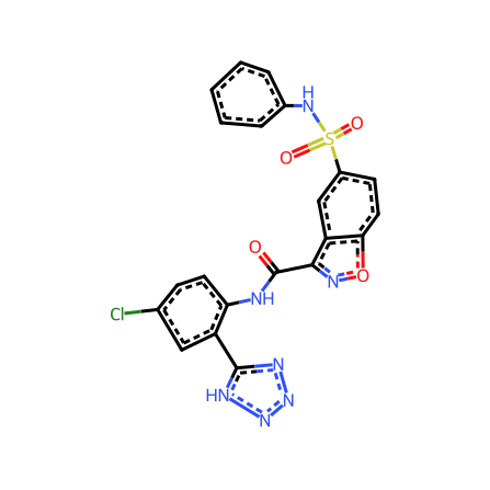 O=C(Nc1ccc(Cl)cc1-c1nnn[nH]1)c1noc2ccc(S(=O)(=O)Nc3ccccc3)cc12